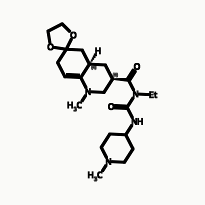 CCN(C(=O)NC1CCN(C)CC1)C(=O)[C@@H]1C[C@@H]2CC3(CC=C2N(C)C1)OCCO3